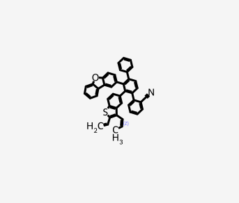 C=Cc1sc2ccc(-c3c(-c4ccccc4C#N)ccc(-c4ccccc4)c3-c3ccc4oc5ccccc5c4c3)cc2c1/C=C\C